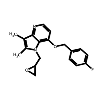 Cc1c(C)n(CC2CO2)c2c(OCc3ccc(F)cc3)ccnc12